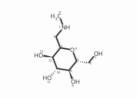 CNCC1O[C@H](CO)[C@@H](O)[C@H](O)[C@H]1O